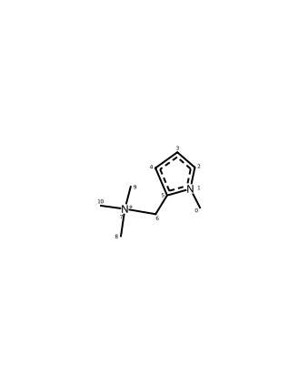 Cn1cccc1C[N+](C)(C)C